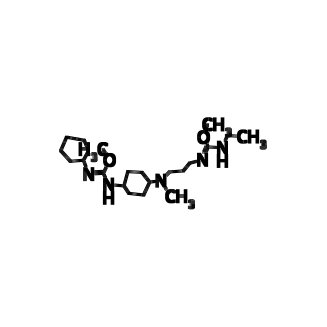 CCN/C(=N/CCCN(C)C1CCC(N/C(=N/C2CCCCC2)OC)CC1)OC